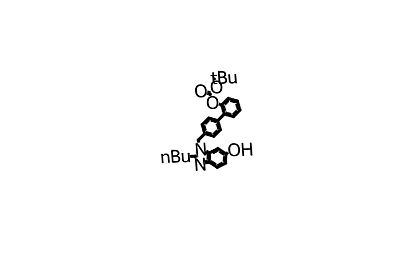 CCCCc1nc2ccc(O)cc2n1Cc1ccc(-c2ccccc2OC(=O)OC(C)(C)C)cc1